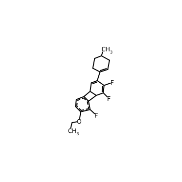 CCOc1ccc2c(c1F)C1C(F)=C(F)C(C3=CCC(C)CC3)=CC21